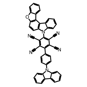 N#Cc1c(C#N)c(-n2c3ccccc3c3c4c(ccc32)oc2ccccc24)c(C#N)c(C#N)c1-c1ccc(-n2c3ccccc3c3ccccc32)cc1